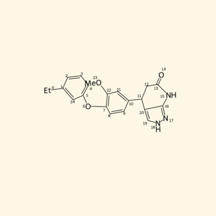 CCc1cccc(Oc2ccc(C3CC(=O)Nc4n[nH]cc43)cc2OC)c1